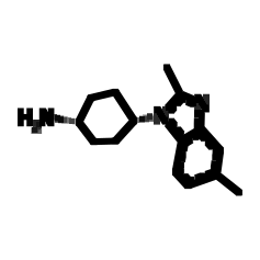 Cc1ccc2c(c1)nc(C)n2[C@H]1CC[C@@H](N)CC1